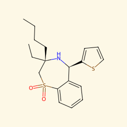 CCCC[C@]1(CC)CS(=O)(=O)c2ccccc2[C@H](c2cccs2)N1